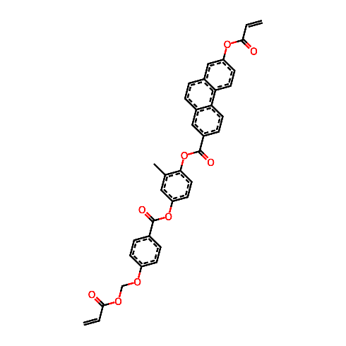 C=CC(=O)OCOc1ccc(C(=O)Oc2ccc(OC(=O)c3ccc4c(ccc5cc(OC(=O)C=C)ccc54)c3)c(C)c2)cc1